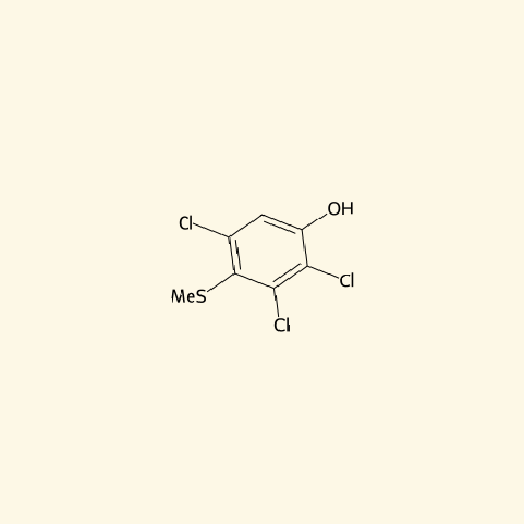 CSc1c(Cl)cc(O)c(Cl)c1Cl